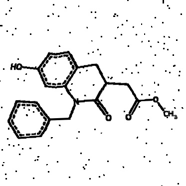 COC(=O)CC1Cc2ccc(O)cc2N(Cc2ccccc2)C1=O